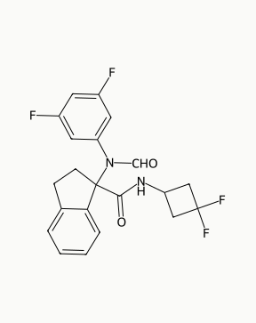 O=CN(c1cc(F)cc(F)c1)C1(C(=O)NC2CC(F)(F)C2)CCc2ccccc21